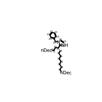 CCCCCCCCCCCCCCCCCC[C@H](CCCCCCCCCCCC)c1[nH]cc[n+]1Cc1ccccc1